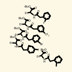 CCC(NC(=O)Cc1ccc(F)cc1)C(=O)OCC(C)C.CCC(NC(=O)Cc1cccc(Br)c1)C(=O)OCC(C)C.CCC(NC(=O)Cc1cccc(C(F)(F)F)c1)C(=O)OCC(C)C.CCC(NC(=O)Cc1ccccc1C)C(=O)OCC(C)C.CCC(NC(=O)Cc1ccccc1F)C(=O)OCC(C)C